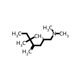 C=C(CCCN(C)C)C(C)(C)CC